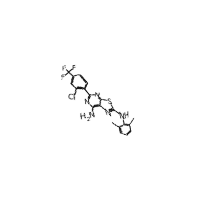 Cc1cccc(C)c1Nc1nc2c(N)nc(-c3ccc(C(F)(F)F)cc3Cl)nc2s1